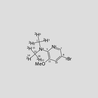 [2H]C([2H])([2H])N(c1ncc(Br)cc1OC)C([2H])([2H])[2H]